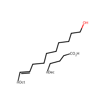 CCCCCCCCC=CCCCCCCCCO.CCCCCCCCCCCCCC(=O)O